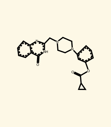 O=C(Oc1cccc(N2CCN(Cc3nc4ccccc4c(=O)[nH]3)CC2)c1)C1CC1